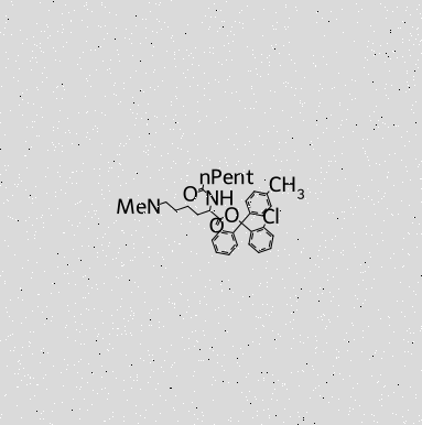 CCCCCC(=O)NC(CCCCNC)C(=O)OC(c1ccccc1)(c1ccc(C)cc1)c1ccccc1Cl